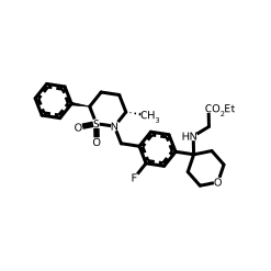 CCOC(=O)CNC1(c2ccc(CN3[C@@H](C)CC[C@H](c4ccccc4)S3(=O)=O)c(F)c2)CCOCC1